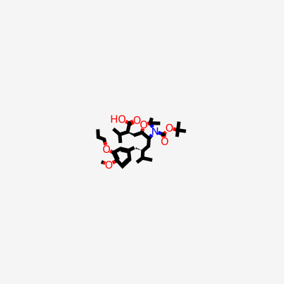 CCCOc1cc(C[C@H](CC2C(C[C@H](C(=O)O)C(C)C)OC(C)(C)N2C(=O)OC(C)(C)C)C(C)C)ccc1OC